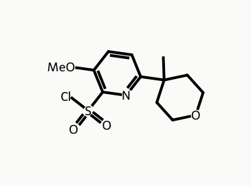 COc1ccc(C2(C)CCOCC2)nc1S(=O)(=O)Cl